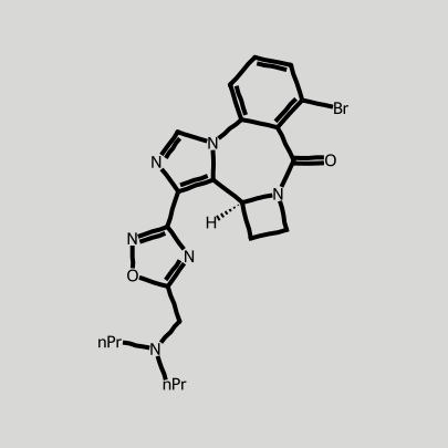 CCCN(CCC)Cc1nc(-c2ncn3c2[C@@H]2CCN2C(=O)c2c(Br)cccc2-3)no1